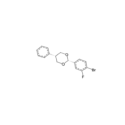 Fc1cc([C@H]2OC[C@@H](c3ccccc3)CO2)ccc1Br